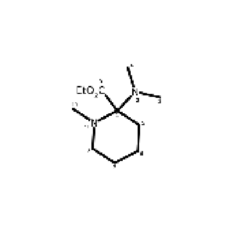 CCOC(=O)C1(N(C)C)CCCCN1C